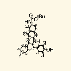 Cc1c(NC(=O)OC(C)(C)C)ccc2nc(NC(Cc3cc(I)c(O)c(I)c3)C(=O)N3CCN(C)CC3)oc(=O)c12